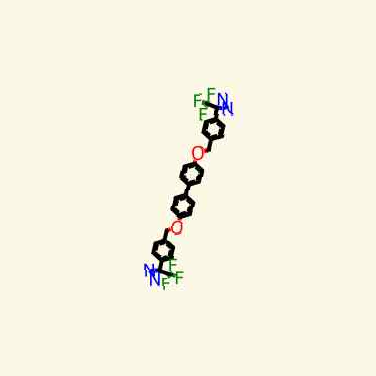 FC(F)(F)C1(c2ccc(COc3ccc(-c4ccc(OCc5ccc(C6(C(F)(F)F)N=N6)cc5)cc4)cc3)cc2)N=N1